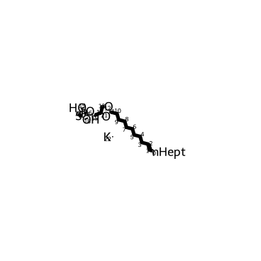 CCCCCCCC=CCCCCCCCCC1OCC(COP(O)(O)=S)O1.[K]